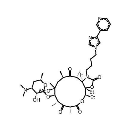 CC[C@H]1OC(=O)[C@H](C)C(=O)[C@H](C)[C@@H](OC2O[C@H](C)C[C@H](N(C)C)[C@H]2O)[C@@](C)(OC)C[C@@H](C)C(=O)[C@H](C)[C@H]2N(CCCCn3cnc(-c4cccnc4)c3)C(=O)O[C@]12CC